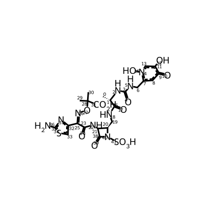 C[C@H](NC(=O)NCc1cc(=O)c(O)cn1O)C(=O)NC[C@@H]1[C@H](NC(=O)C(=NOC(C)(C)C(=O)O)c2csc(N)n2)C(=O)N1S(=O)(=O)O